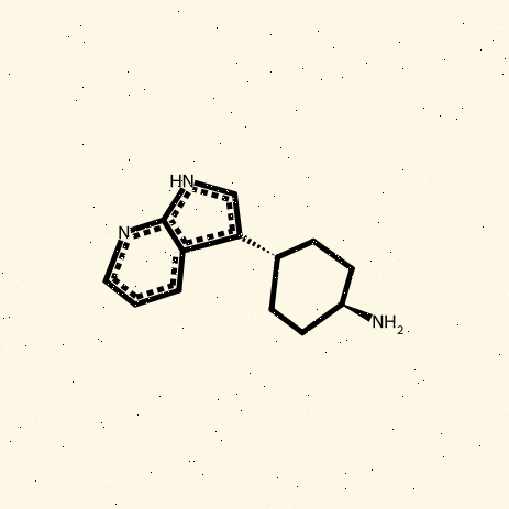 N[C@H]1CC[C@H](c2c[nH]c3ncccc32)CC1